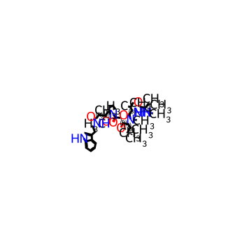 CC[C@H](C)[C@@H]([C@@H](CC(=O)N1CCC[C@H]1[C@H](OC)[C@@H](C)C(=O)NCCc1c[nH]c2ccccc12)OC)N(C)C(=O)[C@@H](NC(=O)[C@@H](NC)C(C)C)C(C)C